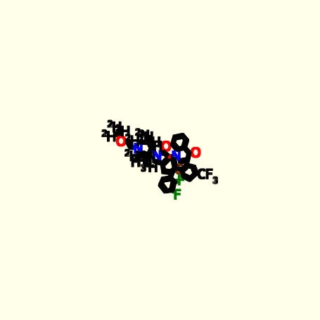 [2H]C([2H])([2H])OCCN1C([2H])([2H])C([2H])([2H])C([2H])(N(C(=O)Cn2c(SCc3cccc(F)c3F)cc(=O)c3ccccc32)C([2H])(C)c2ccc(-c3ccc(C(F)(F)F)cc3)cc2)C([2H])([2H])C1([2H])[2H]